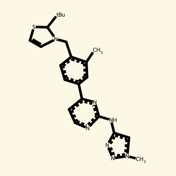 Cc1cc(-c2ccnc(Nc3cn(C)nn3)n2)ccc1CN1C=CSC1C(C)(C)C